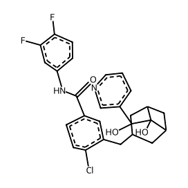 O=C(Nc1ccc(F)c(F)c1)c1ccc(Cl)c(CC2CC3CC(C2)C3(O)C(O)c2cccnc2)c1